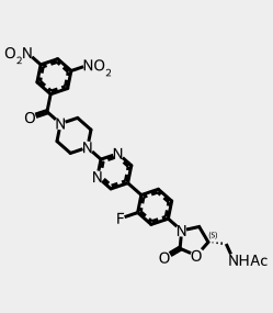 CC(=O)NC[C@H]1CN(c2ccc(-c3cnc(N4CCN(C(=O)c5cc([N+](=O)[O-])cc([N+](=O)[O-])c5)CC4)nc3)c(F)c2)C(=O)O1